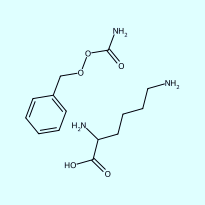 NC(=O)OOCc1ccccc1.NCCCCC(N)C(=O)O